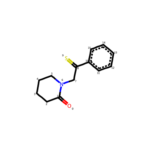 O=C1CCCCN1CC(=S)c1ccccc1